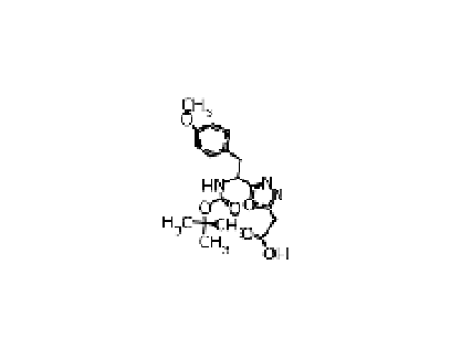 COc1ccc(CC(NC(=O)OC(C)(C)C)c2nnc(CC(=O)O)o2)cc1